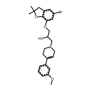 COc1cccc(C2=CCN(CC(O)COc3cc(Br)cc4c3OC(C)(C)C4)CC2)c1